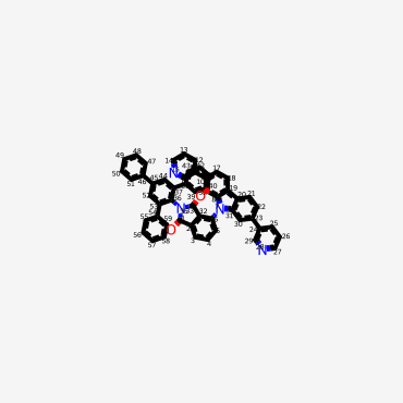 O=C1c2cccc(-n3c4cc(-c5cccnc5)ccc4c4ccc(-c5cccnc5)cc43)c2C(=O)N1c1c(-c2ccccc2)cc(-c2ccccc2)cc1-c1ccccc1